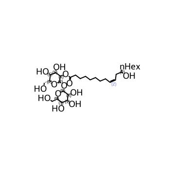 CCCCCC[C@@H](O)C/C=C\CCCCCCCC(=O)O[C@H]1[C@@H](O[C@H]2O[C@H](CO)[C@@H](O)[C@H](O)[C@H]2O)O[C@H](CO)[C@@H](O)[C@@H]1O